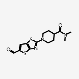 CN(C)C(=O)C1CCN(c2nc3sc(C=O)cc3s2)CC1